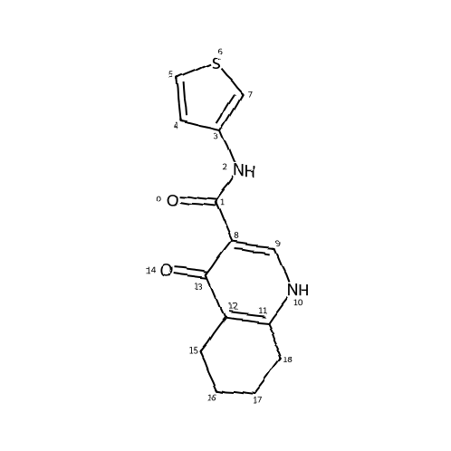 O=C(Nc1ccsc1)c1c[nH]c2c(c1=O)CCCC2